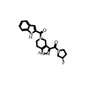 O=C(c1cc2ccccc2[nH]1)N1CCc2[nH]nc(C(=O)N3CC[C@@H](F)C3)c2C1